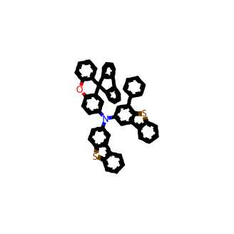 c1ccc(-c2cc(N(c3ccc4c(c3)C3(c5ccccc5O4)c4ccccc4-c4ccccc43)c3ccc4sc5ccccc5c4c3)cc3c2sc2ccccc23)cc1